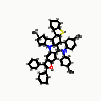 CC(C)(C)c1ccc(Nc2ccc(C(C)(C)C)cc2-c2c3c4c(c5cc(C(C)(C)C)ccc5n4-c4cc5c(-c6ccccc6)c(-c6ccccc6)oc5cc4B3)c3c2sc2ccccc23)cc1